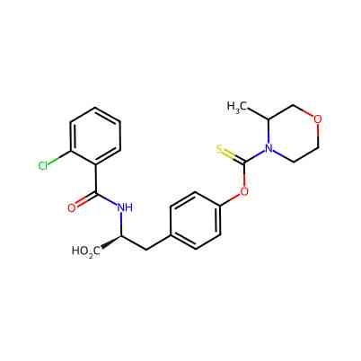 CC1COCCN1C(=S)Oc1ccc(C[C@H](NC(=O)c2ccccc2Cl)C(=O)O)cc1